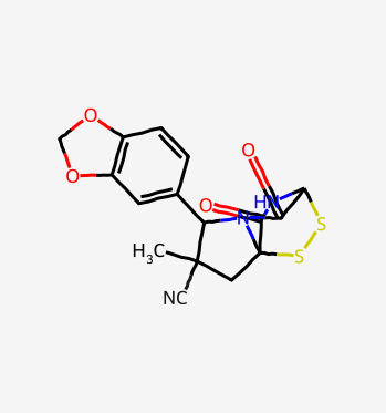 CC1(C#N)CC23SSC(NC2=O)C(=O)N3C1c1ccc2c(c1)OCO2